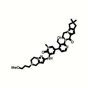 COCCCN1CCn2nc(Nc3cc(-c4ccnc(N5CCn6c(cc7c6CC(C)(C)C7)C5=O)c4CO)cn(C)c3=O)cc2C1